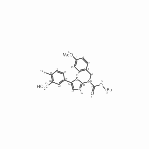 COc1ccc(CN(C(=O)OC(C)(C)C)c2ncc(-c3ccc(F)c(C(=O)O)c3)s2)cc1